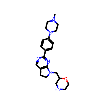 CN1CCN(c2ccc(-c3ncc4c(n3)N(CC3CNCCO3)CC4)cc2)CC1